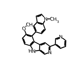 COc1ccc2[nH]c3cnc(-c4cccnc4)cc3c2c1-c1ccc2c(ccn2C)c1